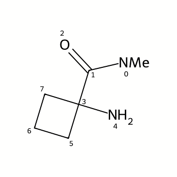 CNC(=O)C1(N)CCC1